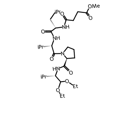 CCOC(OCC)[C@@H](NC(=O)[C@@H]1CCCN1C(=O)[C@@H](NC(=O)[C@H](CC(C)C)NC(=O)CCC(=O)OC)C(C)C)C(C)C